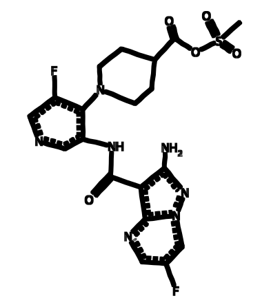 CS(=O)(=O)OC(=O)C1CCN(c2c(F)cncc2NC(=O)c2c(N)nn3cc(F)cnc23)CC1